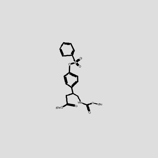 COC(=O)CC(CNC(=O)OC(C)(C)C)c1ccc(OS(=O)(=O)c2ccccc2)cc1